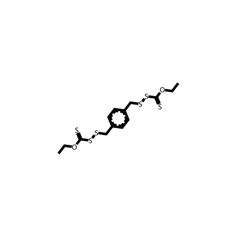 CCOC(=S)SSCc1ccc(CSSC(=S)OCC)cc1